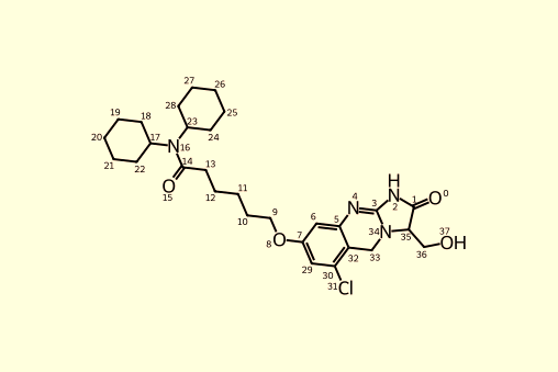 O=C1NC2=Nc3cc(OCCCCCC(=O)N(C4CCCCC4)C4CCCCC4)cc(Cl)c3CN2C1CO